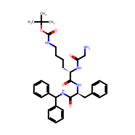 CC(C)(C)OC(=O)NCCCC[C@H](NC(=O)CN)C(=O)N[C@@H](Cc1ccccc1)C(=O)NC(c1ccccc1)c1ccccc1